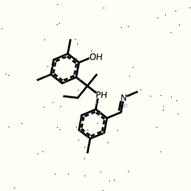 CCC(C)(Pc1ccc(C)cc1/C=N/C)c1cc(C)cc(C)c1O